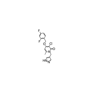 Cc1cc(OCc2ccc(F)cc2F)c(Cl)c(=O)n1Cc1cn[nH]c1